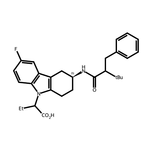 CCC(C(=O)O)n1c2c(c3cc(F)ccc31)C[C@@H](NC(=O)C(Cc1ccccc1)C(C)(C)C)CC2